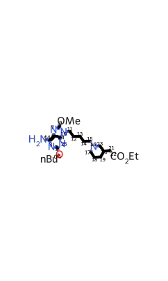 CCCCOc1nc(N)c2nc(OC)n(CCCCCN3CCCC(CC(=O)OCC)C3)c2n1